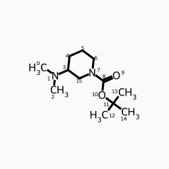 CN(C)C1CCCN(C(=O)OC(C)(C)C)C1